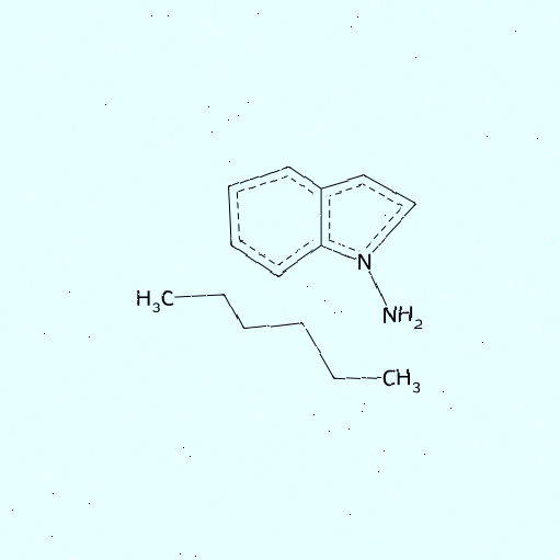 CCCCCC.Nn1ccc2ccccc21